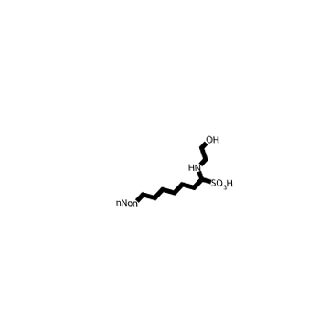 CCCCCCCCCCCCCCCC(NCCO)S(=O)(=O)O